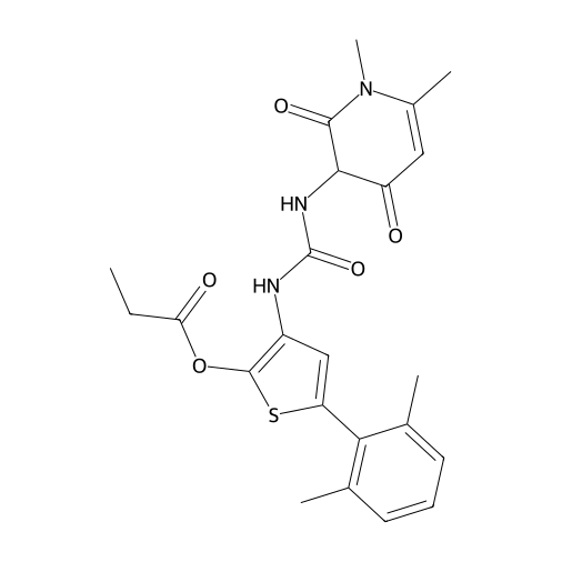 CCC(=O)Oc1sc(-c2c(C)cccc2C)cc1NC(=O)NC1C(=O)C=C(C)N(C)C1=O